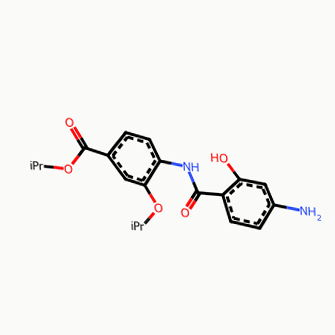 CC(C)OC(=O)c1ccc(NC(=O)c2ccc(N)cc2O)c(OC(C)C)c1